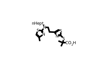 CCCCCCCN(CCc1csc(SC(C)(C)C(=O)O)n1)c1nc(C)cs1